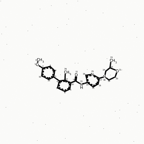 COc1ccc(-c2cccc(C(=O)Nc3ccc(N4CCOC(C)C4)nc3)c2C)cc1